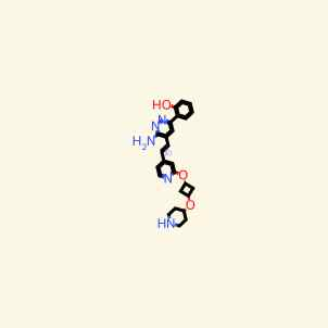 Nc1nnc(-c2ccccc2O)cc1/C=C/c1ccnc(O[C@H]2C[C@H](OC3CCNCC3)C2)c1